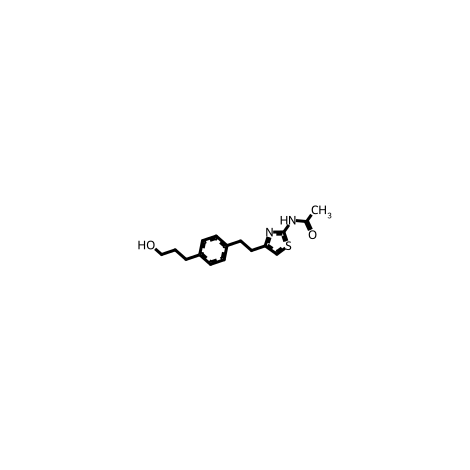 CC(=O)Nc1nc(CCc2ccc(CCCO)cc2)cs1